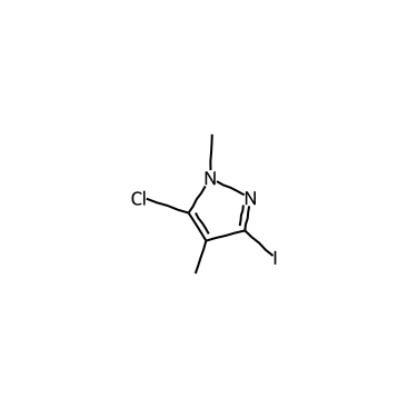 Cc1c(I)nn(C)c1Cl